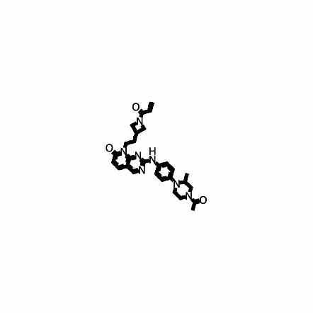 C=CC(=O)N1CC(CCn2c(=O)ccc3cnc(Nc4ccc(N5CCN(C(C)=O)CC5C)cc4)nc32)C1